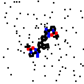 CC(C)(C)OC(=O)N1CCCC1c1nc(-c2ccc(-c3ccc(-c4cnc(C5CCCN5C(=O)OC(C)(C)C)[nH]4)cc3)c3c2CC2CCC32)c[nH]1